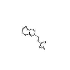 NC(=O)C=Cc1ccc2ncccc2c1